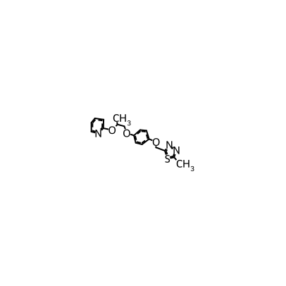 Cc1nnc(COc2ccc(OCC(C)Oc3ccccn3)cc2)s1